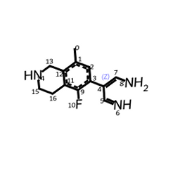 Cc1cc(/C(C=N)=C/N)c(F)c2c1CNCC2